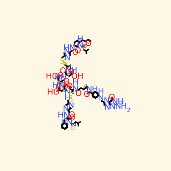 C=B[C@H](CC(C)C)NC(=O)[C@H](Cc1ccccc1)NC(=O)c1cnc(CSSC[C@H](NC(=O)CC[C@@H](C)NC(=O)c2ccc(NCc3cnc4nc(N)[nH]c(=O)c4n3)cc2)C(=O)N[C@@H](CC(=O)O)C(=O)N[C@@H](CC(=O)O)C(=O)N[C@@H](CC(=O)O)C(=O)N[C@H](C)CSSCc2cnc(C(=O)N[C@@H](C/C=C/CCC=C)C(=O)N[C@H](B=O)CC(C)C)cn2)cn1